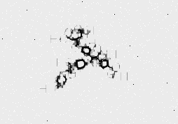 COC(=O)c1ccc2c(c1)NC(=O)C2=C(Nc1ccc(N(C)C(=O)CN2CCN(C)CC2)cc1)c1ccccc1.O=C(O)CC(O)(CC(=O)O)C(=O)O